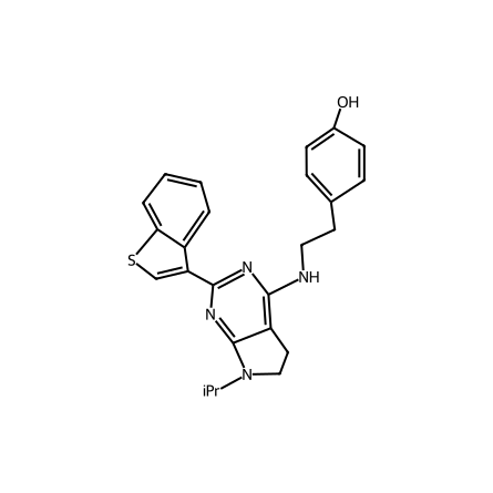 CC(C)N1CCc2c(NCCc3ccc(O)cc3)nc(-c3csc4ccccc34)nc21